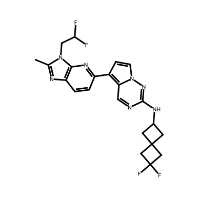 Cc1nc2ccc(-c3ccn4nc(NC5CC6(C5)CC(F)(F)C6)ncc34)nc2n1CC(F)F